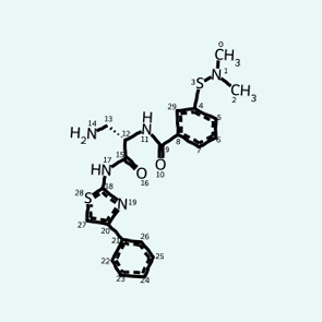 CN(C)Sc1cccc(C(=O)N[C@@H](CN)C(=O)Nc2nc(-c3ccccc3)cs2)c1